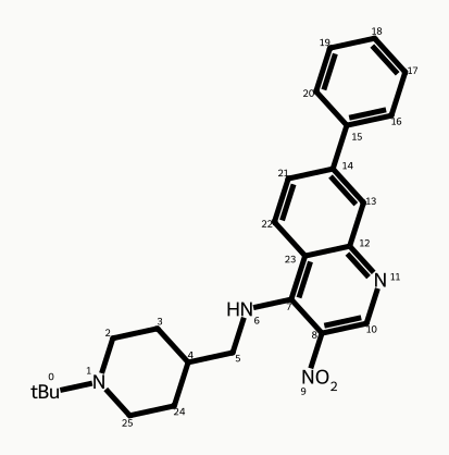 CC(C)(C)N1CCC(CNc2c([N+](=O)[O-])cnc3cc(-c4ccccc4)ccc23)CC1